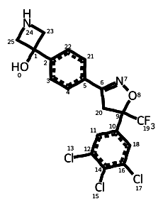 OC1(c2ccc(C3=NOC(c4cc(Cl)c(Cl)c(Cl)c4)(C(F)(F)F)C3)cc2)CNC1